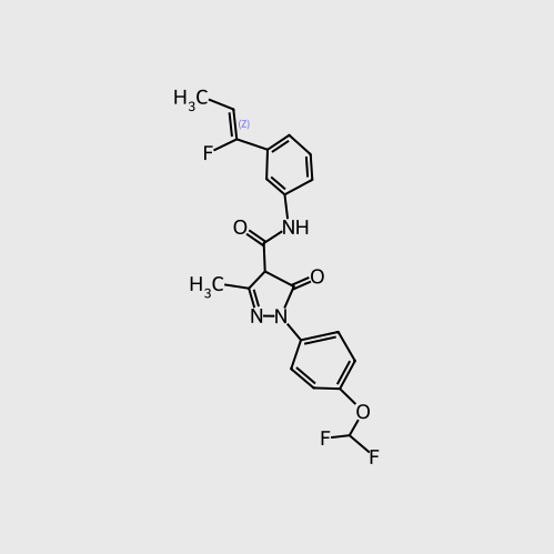 C/C=C(\F)c1cccc(NC(=O)C2C(=O)N(c3ccc(OC(F)F)cc3)N=C2C)c1